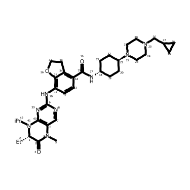 CC[C@H]1C(=O)N(C)c2cnc(Nc3ccc(C(=O)N[C@H]4CC[C@H](N5CCN(CC6CC6)CC5)CC4)c4c3OCC4)nc2N1C(C)C